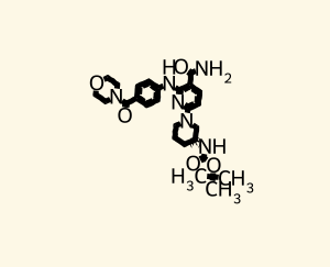 CC(C)(C)OC(=O)N[C@@H]1CCCN(c2ccc(C(N)=O)c(Nc3ccc(C(=O)N4CCOCC4)cc3)n2)C1